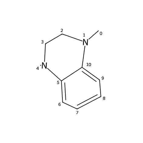 CN1CC[N]c2ccccc21